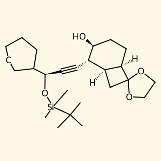 CC(C)(C)[Si](C)(C)O[C@H](C#C[C@H]1[C@@H]2CC3(OCCO3)[C@@H]2CC[C@@H]1O)C1CCCCC1